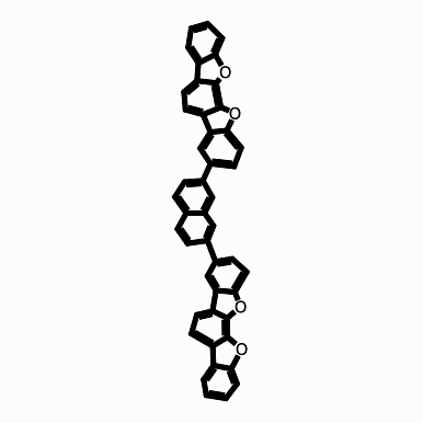 c1ccc2c(c1)oc1c2ccc2c3cc(-c4ccc5ccc(-c6ccc7oc8c(ccc9c%10ccccc%10oc98)c7c6)cc5c4)ccc3oc21